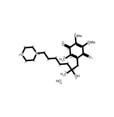 COC1=C(OC)C(=O)C(CC(C)(O)CCCCCN2CCOCC2)=C(C)C1=O.Cl